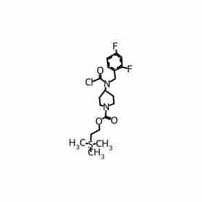 CS(C)(C)CCOC(=O)N1CCC(N(Cc2ccc(F)cc2F)C(=O)Cl)CC1